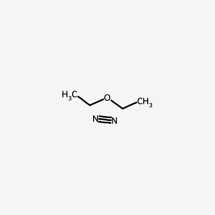 CCOCC.N#N